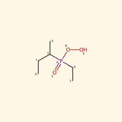 CCC(C)P(=O)(CC)OO